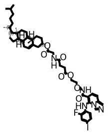 CC(C)CCC[C@@H](C)[C@H]1CC[C@H]2[C@@H]3CC=C4C[C@@H](OC(=O)CNC(=O)CCC(=O)OCCONC(=O)c5ccc6cncn6c5Nc5ccc(I)cc5F)CC[C@@]4(C)[C@H]3CC[C@]12C